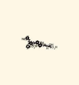 Cc1c(COc2cc(OCc3cncc(C#N)c3)c(CN3CCCC[C@H]3C(=O)O)cc2Cl)cccc1-c1cccc(OCCCNCC(O)C(=O)O)c1C